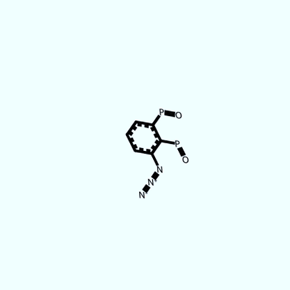 [N-]=[N+]=Nc1cccc(P=O)c1P=O